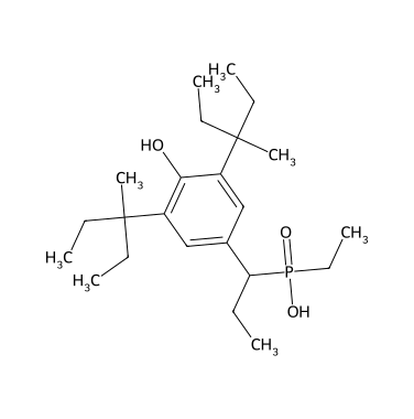 CCC(c1cc(C(C)(CC)CC)c(O)c(C(C)(CC)CC)c1)P(=O)(O)CC